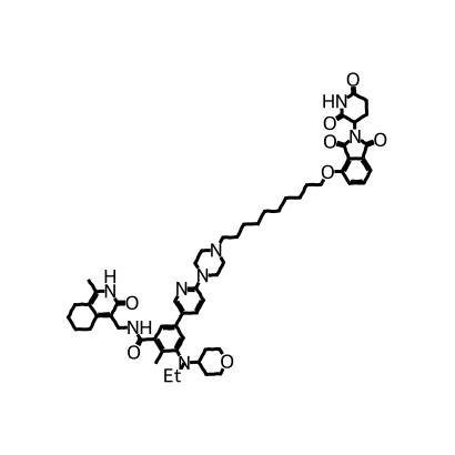 CCN(c1cc(-c2ccc(N3CCN(CCCCCCCCCCOc4cccc5c4C(=O)N(C4CCC(=O)NC4=O)C5=O)CC3)nc2)cc(C(=O)NCc2c3c(c(C)[nH]c2=O)CCCC3)c1C)C1CCOCC1